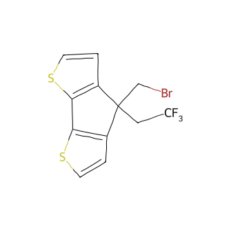 FC(F)(F)CC1(CBr)c2ccsc2-c2sccc21